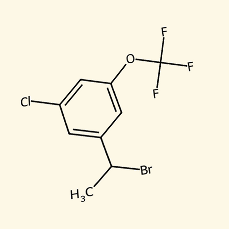 CC(Br)c1cc(Cl)cc(OC(F)(F)F)c1